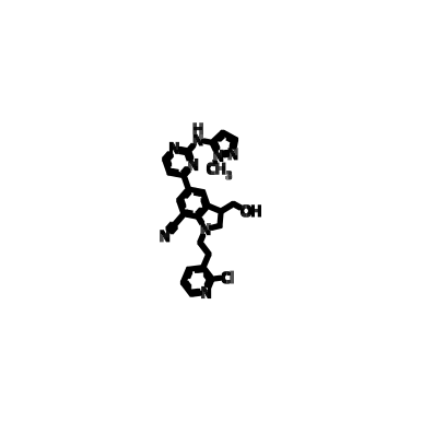 Cn1nccc1Nc1nccc(-c2cc(C#N)c3c(c2)C(CO)CN3CCc2cccnc2Cl)n1